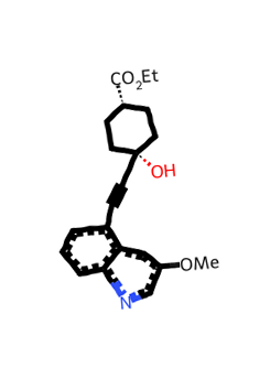 CCOC(=O)[C@H]1CC[C@](O)(C#Cc2cccc3ncc(OC)cc23)CC1